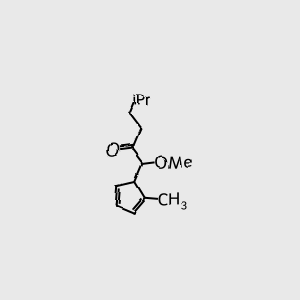 COC(C(=O)CCC(C)C)C1C=CC=C1C